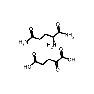 NC(=O)CC[C@H](N)C(N)=O.O=C(O)CCC(=O)C(=O)O